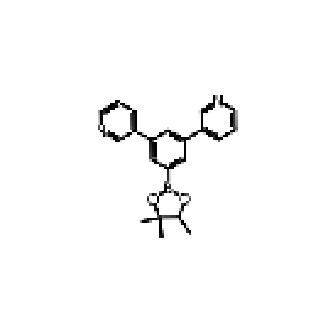 CC1OB(c2cc(-c3cccnc3)cc(-c3cccnc3)c2)OC1(C)C